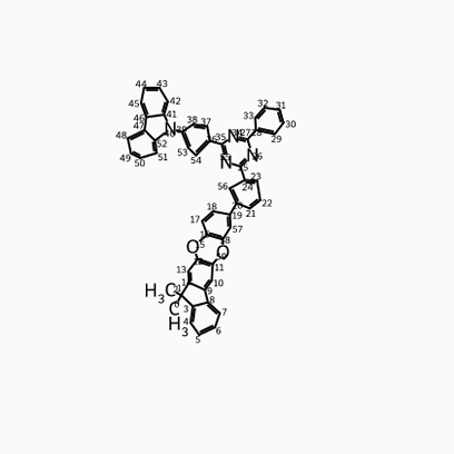 CC1(C)c2ccccc2-c2cc3c(cc21)Oc1ccc(-c2cccc(-c4nc(-c5ccccc5)nc(-c5ccc(-n6c7ccccc7c7ccccc76)cc5)n4)c2)cc1O3